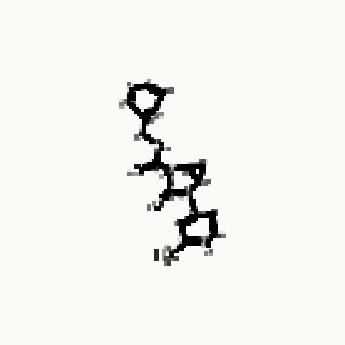 Cc1cc(N2C(=O)N(C(=O)OCc3ccccc3)C3CC32)ccn1